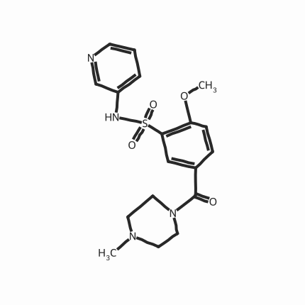 COc1ccc(C(=O)N2CCN(C)CC2)cc1S(=O)(=O)Nc1cccnc1